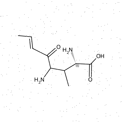 CC=CC(=O)C(N)C(C)[C@H](N)C(=O)O